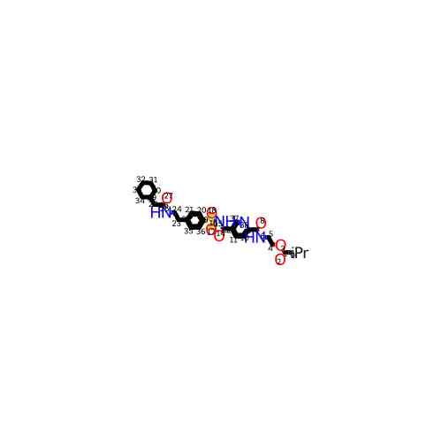 CC(C)C(=O)OCCNC(=O)c1ccc(C(=O)NS(=O)(=O)c2ccc(CCNC(=O)CC3CCCCC3)cc2)cn1